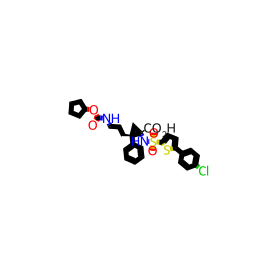 O=C(NCCC[C@@]1(c2ccccc2)C[C@]1(NS(=O)(=O)c1ccc(-c2ccc(Cl)cc2)s1)C(=O)O)OC1CCCC1